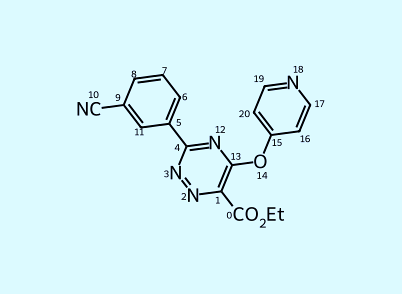 CCOC(=O)c1nnc(-c2cccc(C#N)c2)nc1Oc1ccncc1